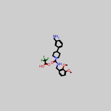 COc1cccc(CNC(=O)N2CCC(c3cccc(CN)c3)CC2)c1OC.O=C(O)C(F)(F)F